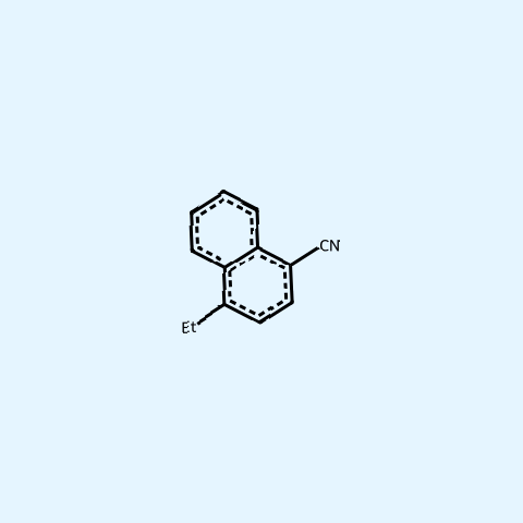 CCc1ccc(C#N)c2ccccc12